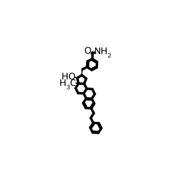 C[C@]12CCC3c4ccc(CCc5ccccc5)cc4CCC3C1C[C@H](Cc1cccc(C(N)=O)c1)[C@@H]2O